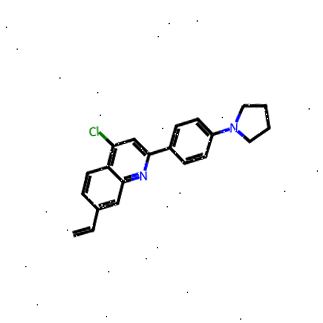 C=Cc1ccc2c(Cl)cc(-c3ccc(N4CCCC4)cc3)nc2c1